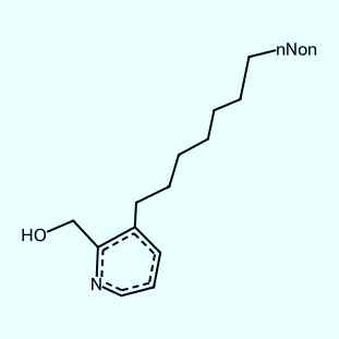 CCCCCCCCCCCCCCCCc1cccnc1CO